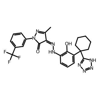 CC1=NN(c2cccc(C(F)(F)F)c2)C(=O)C1=NNc1cccc(C2(c3nnn[nH]3)CCCCC2)c1O